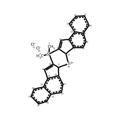 C[Si]1(C)C2=Cc3c(ccc4ccccc34)[CH]2[Ti+2][CH]2C1=Cc1c2ccc2ccccc12.[Cl-].[Cl-]